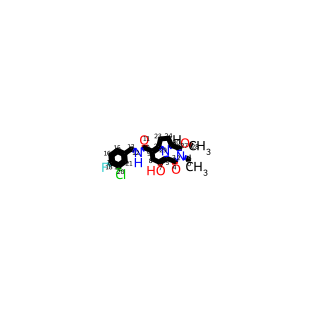 CCN1C(=O)C2=C(O)CC(C(=O)NCc3ccc(F)c(Cl)c3)=C3CC[C@@H]([C@H]1OC)N32